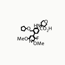 COc1cc(-c2ccc(NC3(C(=O)O)CCOCC3)cc2COC2CCCC2)c(F)c(OC)n1